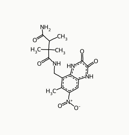 Cc1c([N+](=O)[O-])cc2[nH]c(=O)c(=O)[nH]c2c1CNC(=O)C(C)(C)C(C)C(N)=O